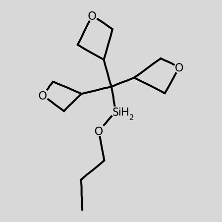 CCCO[SiH2]C(C1COC1)(C1COC1)C1COC1